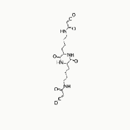 O=C=CC(=O)NCCCCC1NC(=O)C(CCCCNC(=O)C=C=O)NC1=O